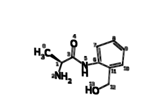 C[C@H](N)C(=O)Nc1ccccc1CO